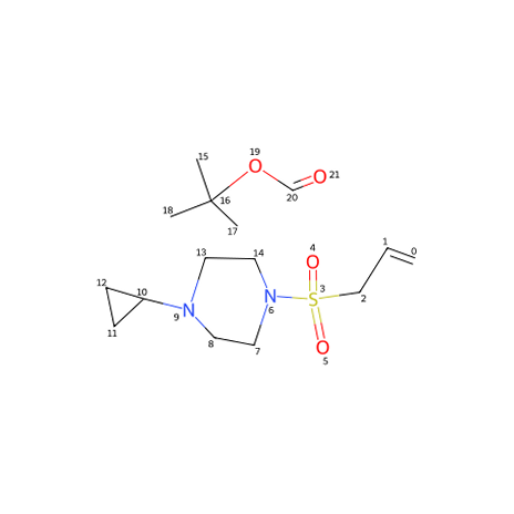 C=CCS(=O)(=O)N1CCN(C2CC2)CC1.CC(C)(C)OC=O